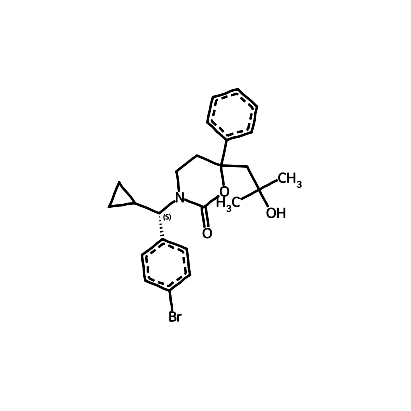 CC(C)(O)CC1(c2ccccc2)CCN([C@H](c2ccc(Br)cc2)C2CC2)C(=O)O1